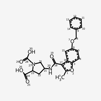 Cc1oc2ccc(OCc3ccccc3)cc2c1C(=O)NC1CC(C(=O)O)N(C(=O)O)C1